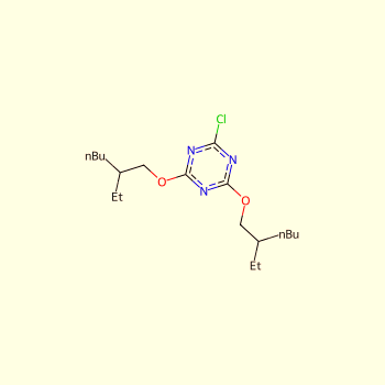 CCCCC(CC)COc1nc(Cl)nc(OCC(CC)CCCC)n1